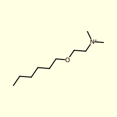 CCCCCCOCC[N+](C)C